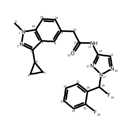 Cn1nc(C2CC2)c2cc(CC(=O)Nc3cnn(C(F)c4ccccc4F)n3)ccc21